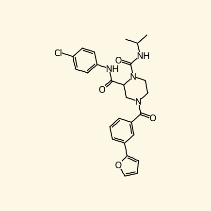 CC(C)NC(=O)N1CCN(C(=O)c2cccc(-c3ccco3)c2)CC1C(=O)Nc1ccc(Cl)cc1